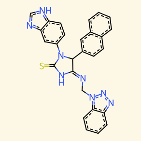 S=C1N/C(=N\Cn2nnc3ccccc32)C(c2ccc3ccccc3c2)N1c1ccc2[nH]cnc2c1